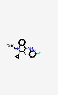 C[C@@H]1[C@@H](Nc2cccc(F)n2)c2ccccc2N(CC=O)[C@H]1C1CC1